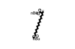 CCCCOC(=O)CCCCCCCCCCCCC(C)C(=O)OCCCC